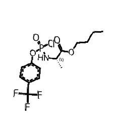 CCCCOC(=O)[C@H](C)NP(=O)(Cl)Oc1ccc(C(F)(F)F)cc1